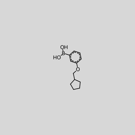 OB(O)c1cccc(OCC2CCCC2)c1